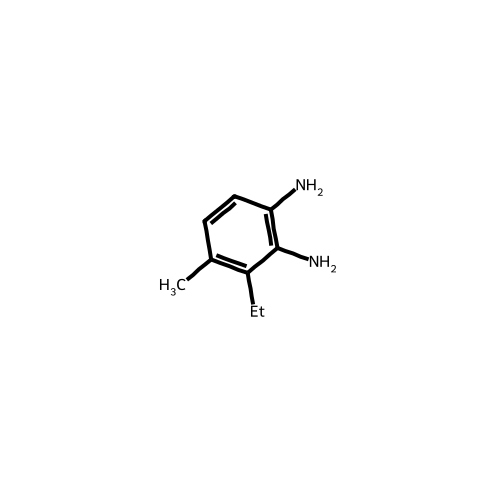 CCc1c(C)ccc(N)c1N